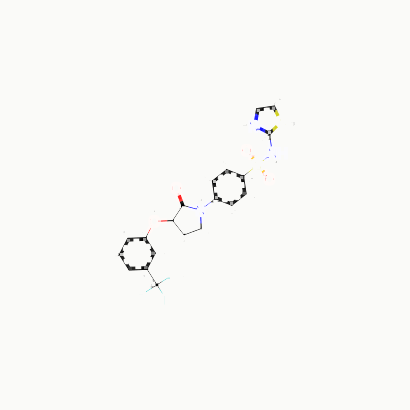 O=C1C(Oc2cccc(C(F)(F)F)c2)CCN1c1ccc(S(=O)(=O)Nc2nccs2)cc1